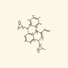 C=CC(=O)N(c1ccccc1CC1CO1)c1ccccc1CC1CO1